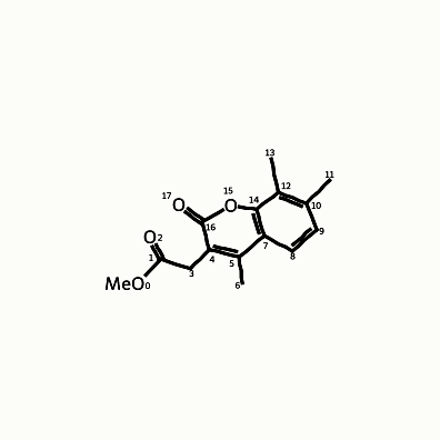 COC(=O)Cc1c(C)c2ccc(C)c(C)c2oc1=O